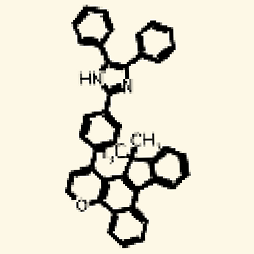 CC1(C)c2ccccc2-c2c1c1c(c3ccccc23)OCC=C1c1ccc(-c2nc(-c3ccccc3)c(-c3ccccc3)[nH]2)cc1